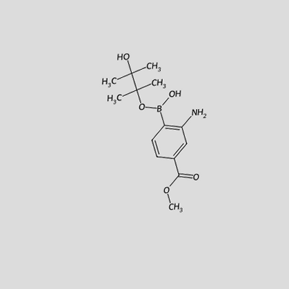 COC(=O)c1ccc(B(O)OC(C)(C)C(C)(C)O)c(N)c1